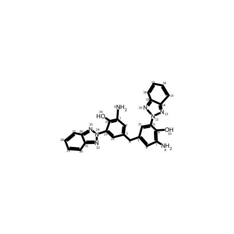 Nc1cc(Cc2cc(N)c(O)c(-n3nc4ccccc4n3)c2)cc(-n2nc3ccccc3n2)c1O